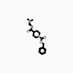 CN(C)/C=N/C(=O)C1CCN(C(=O)OCc2ccccc2)CC1